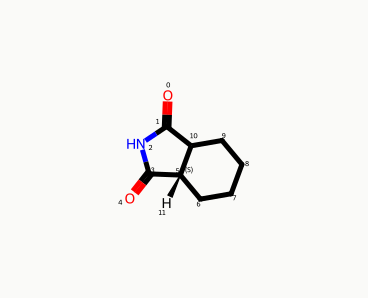 O=C1NC(=O)[C@H]2CCCCC12